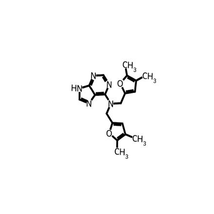 Cc1cc(CN(Cc2cc(C)c(C)o2)c2ncnc3[nH]cnc23)oc1C